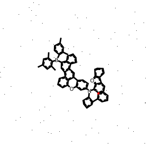 Cc1ccc(B(c2c(C)cc(C)cc2C)c2cc3c4cccc5c4c(cc3c3ccccc23)-c2ccc(N(c3ccccc3-c3ccccc3)c3cccc4c3oc3ccccc34)cc2O5)c(C)c1